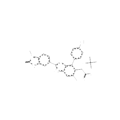 Cc1cc2nc(-c3ccc4c(c3)[nH]c(=O)n4C)sc2c(-c2ccc(Cl)cc2)c1[C@H](OC(C)(C)C)C(=O)O